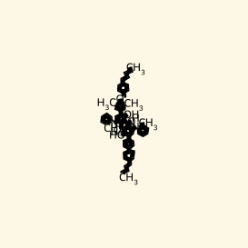 CCCCCC1CCC(COc2c(C)cc(-c3cc(Nc4ccccc4C)c4c(c3O)C(=O)c3c(Nc5ccccc5C)cc(-c5ccc(C6CCC(CCCCC)CC6)cc5)c(O)c3C4=O)cc2C)CC1